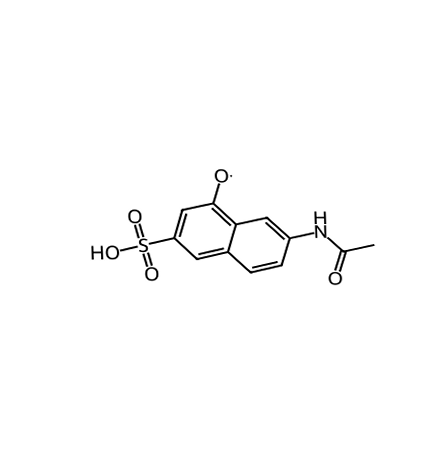 CC(=O)Nc1ccc2cc(S(=O)(=O)O)cc([O])c2c1